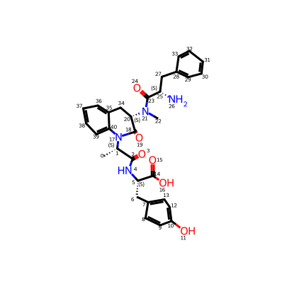 C[C@@H](C(=O)N[C@@H](Cc1ccc(O)cc1)C(=O)O)N1C(=O)[C@@H](N(C)C(=O)[C@@H](N)Cc2ccccc2)Cc2ccccc21